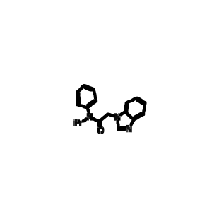 CC(C)N(C(=O)Cn1cnc2ccccc21)c1ccccc1